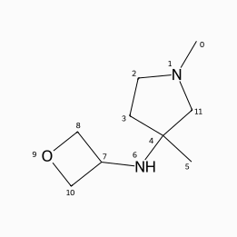 CN1CCC(C)(NC2COC2)C1